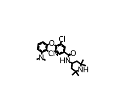 CN(C)c1cccc(Oc2ccc(C(=O)NC3CC(C)(C)NC(C)(C)C3)cc2Cl)c1C#N